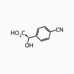 N#Cc1ccc([C@@H](O)C(=O)O)cc1